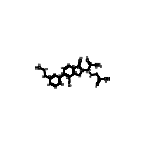 NC(=O)[C@H](CCC(=O)O)N1Cc2c(ccc(-c3cc(CCO)ccn3)c2F)C1=O